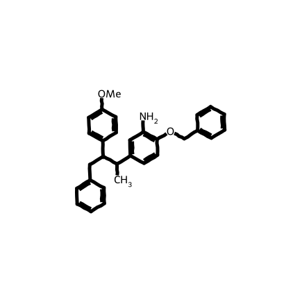 COc1ccc([C](Cc2ccccc2)C(C)c2ccc(OCc3ccccc3)c(N)c2)cc1